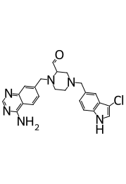 Nc1ncnc2cc(CN3CCN(Cc4ccc5[nH]cc(Cl)c5c4)CC3C=O)ccc12